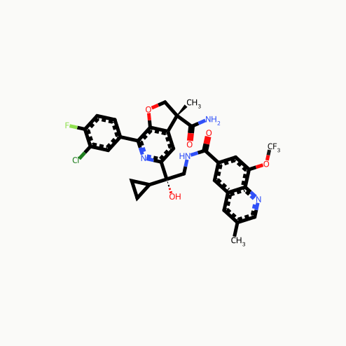 Cc1cnc2c(OC(F)(F)F)cc(C(=O)NC[C@](O)(c3cc4c(c(-c5ccc(F)c(Cl)c5)n3)OC[C@]4(C)C(N)=O)C3CC3)cc2c1